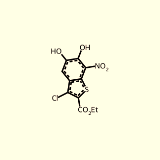 CCOC(=O)c1sc2c([N+](=O)[O-])c(O)c(O)cc2c1Cl